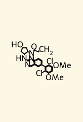 C=CC(=O)NC1CC(O)CC1Nc1ncc2cc(-c3c(Cl)c(OC)cc(OC)c3Cl)ccc2n1